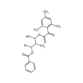 CCCC(OC(=O)C(=O)c1c(C)cc(C)cc1C)C(C)C(CC)OC(=O)c1ccccc1